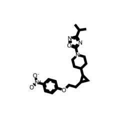 CC(C)c1noc(N2CCC(C3CC3CCOc3ccc([N+](=O)[O-])cc3)CC2)n1